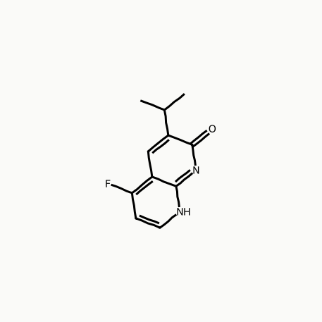 CC(C)c1cc2c(F)cc[nH]c-2nc1=O